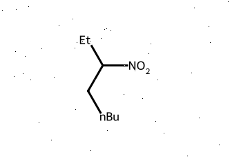 [CH2]CCCCC(CC)[N+](=O)[O-]